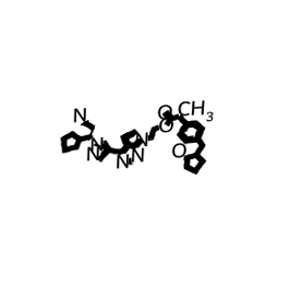 CC(C(=O)OCCn1ccc2c(-c3cnn([C@H](CC#N)C4CCCC4)c3)ncnc21)c1ccc(CC2CCCC2=O)cc1